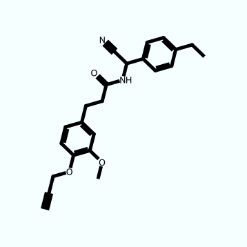 C#CCOc1ccc(CCC(=O)NC(C#N)c2ccc(CC)cc2)cc1OC